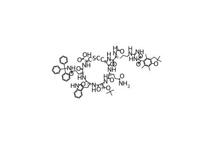 CC(=O)N[C@H](CCCNC(=N)NS(=O)(=O)c1c(C)c(C)c2c(c1C)CC(C)(C)O2)C(=O)N[C@H]1CCSC[C@@H](C(=O)O)NC(=O)[C@H](CCC(=O)NC(c2ccccc2)(c2ccccc2)c2ccccc2)NC(=O)[C@H](Cc2c[nH]c3ccccc23)NC(=O)[C@H]([C@@H](C)OC(C)(C)C)NC(=O)[C@H](CCC(N)=O)NC1=O